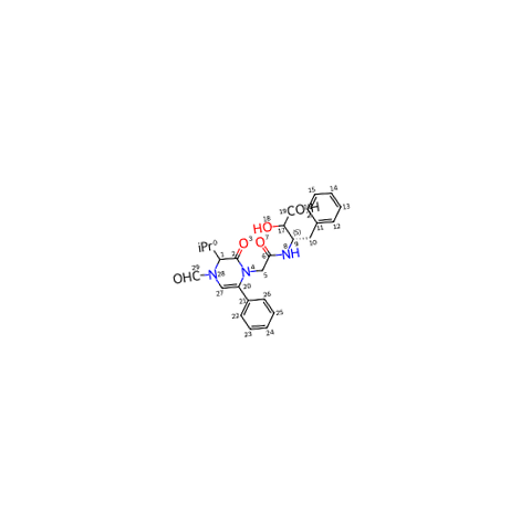 CC(C)C1C(=O)N(CC(=O)N[C@@H](Cc2ccccc2)C(O)C(=O)O)C(c2ccccc2)=CN1C=O